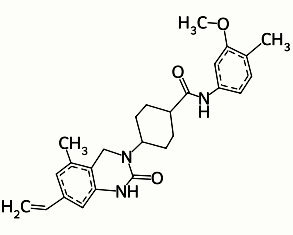 C=Cc1cc(C)c2c(c1)NC(=O)N(C1CCC(C(=O)Nc3ccc(C)c(OC)c3)CC1)C2